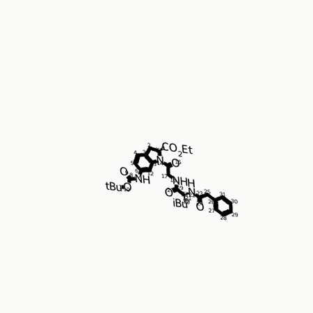 CCOC(=O)[C@@H]1Cc2ccc(NC(=O)OC(C)(C)C)cc2N1C(=O)CNC(=O)[C@@H](NC(=O)Cc1ccccc1)[C@H](C)CC